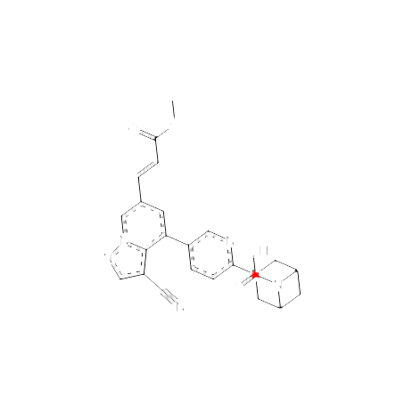 COC(=O)/C=C/c1cc(-c2ccc(N3CC4CC(C3)N4C(=O)O)nc2)c2c(C#N)cnn2c1